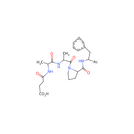 CC(=O)C(Cc1ccccc1)NC(=O)C1CCCN1C(=O)C(C)NC(=O)C(C)NC(=O)CCC(=O)O